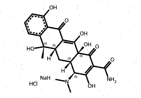 CN(C)[C@@H]1C(O)=C(C(N)=O)C(=O)[C@@]2(O)C(O)=C3C(=O)c4c(O)cccc4[C@@](C)(O)[C@H]3C[C@@H]12.Cl.[NaH]